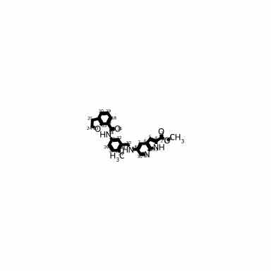 COC(=O)c1cc2cc(NCc3cc(NC(=O)c4cccc5c4OCC5)ccc3C)cnc2[nH]1